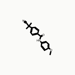 COc1ccc(NC(=O)c2ccc(C(C)(C)C#N)cc2)cc1